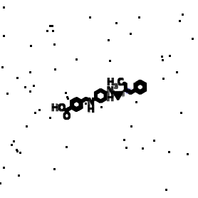 CC/C(=C\c1ccccc1)[C@@H]1C[C@H]1N[C@H]1CC[C@H](NCc2ccc(C(=O)O)cc2)CC1